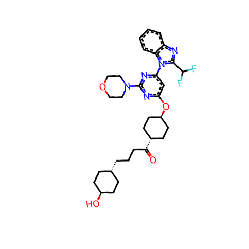 O=C(CCC[C@H]1CC[C@H](O)CC1)[C@H]1CC[C@H](Oc2cc(-n3c(C(F)F)nc4ccccc43)nc(N3CCOCC3)n2)CC1